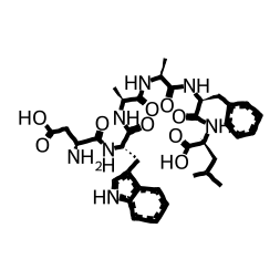 CC(C)C[C@H](NC(=O)[C@H](Cc1ccccc1)NC(=O)[C@H](C)NC(=O)[C@H](C)NC(=O)[C@H](Cc1c[nH]c2ccccc12)NC(=O)[C@@H](N)CC(=O)O)C(=O)O